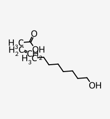 C=C.CC(=O)O.CCCCCCCCO